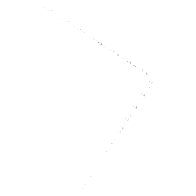 [Ni].[Ni].[Ni].[Ni].[Ni].[Ni].[Ni].[Ni].[Ni].[Ni].[Ni].[Ni].[Ni].[Ni].[Ni].[Ni].[Ni].[Ni].[Ni].[Ni].[Ni].[Ni].[Ni].[Ni].[Ni].[Ni].[Ni].[Pb].[Pb].[Pb].[Pb].[Pb].[Pb].[Pb].[Pb].[Pb].[Pb].[Pb].[Pb].[Pb].[Pb].[Pb].[Pb].[Pb].[Pb].[Pb].[Pb].[Pb].[Pb].[Pb].[Pb].[Pb].[Pb].[Pb].[Pb]